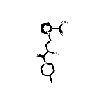 COC(=O)c1cccn1CCC(N)C(=O)N1CCC(C)CC1